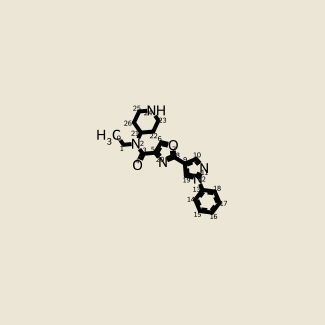 CCN(C(=O)c1coc(-c2cnn(-c3ccccc3)c2)n1)C1CCNCC1